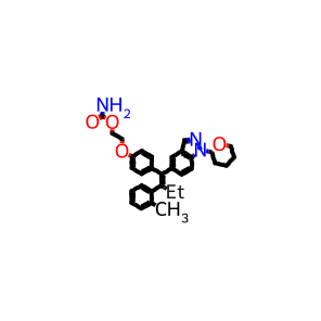 CC/C(=C(/c1ccc(OCCOC(N)=O)cc1)c1ccc2c(cnn2C2CCCCO2)c1)c1ccccc1C